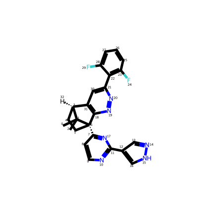 CC1(C)[C@H]2CC[C@]1(c1ccnc(-c3cn[nH]c3)n1)c1nnc(-c3c(F)cccc3F)cc12